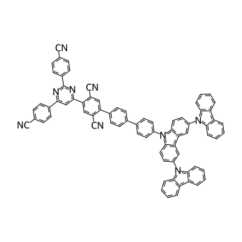 N#Cc1ccc(-c2cc(-c3cc(C#N)c(-c4ccc(-c5ccc(-n6c7ccc(-n8c9ccccc9c9ccccc98)cc7c7cc(-n8c9ccccc9c9ccccc98)ccc76)cc5)cc4)cc3C#N)nc(-c3ccc(C#N)cc3)n2)cc1